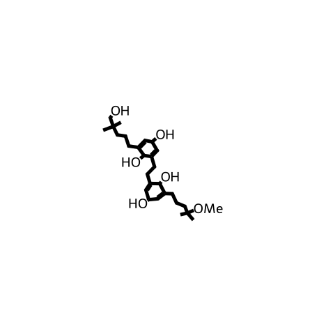 COC(C)(C)CCCC1=CC(O)C=C(CCC2=CC(O)C=C(CCCC(C)(C)CO)C2O)C1O